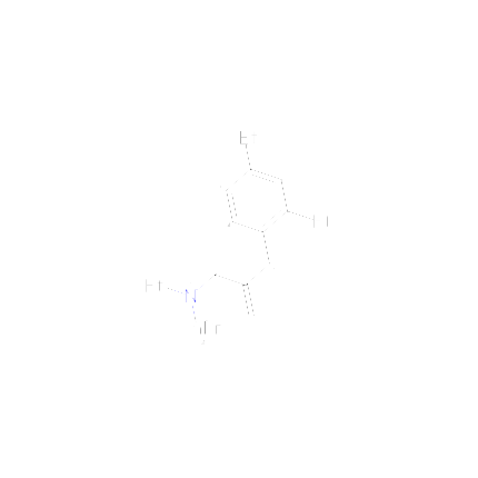 C=C(Cc1ccc(CC)cc1CC)CN(CC)CCC